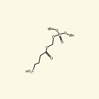 CC(C)(C)OP(=O)(OCOC(=O)CCCC(=O)O)OC(C)(C)C